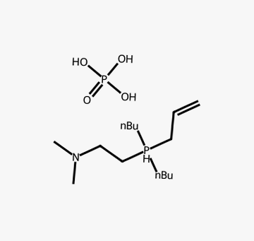 C=CC[PH](CCCC)(CCCC)CCN(C)C.O=P(O)(O)O